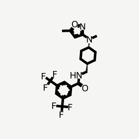 Cc1cc(N(C)[C@H]2CC[C@H](CNC(=O)c3cc(C(F)(F)F)cc(C(F)(F)F)c3)CC2)no1